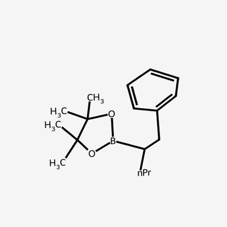 CCCC(Cc1ccccc1)B1OC(C)(C)C(C)(C)O1